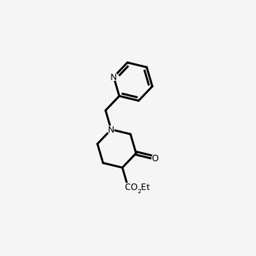 CCOC(=O)C1CCN(Cc2ccccn2)CC1=O